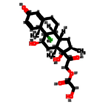 C[C@@H]1C[C@H]2[C@@H]3CCC4=CC(=O)C=C[C@]4(C)[C@@]3(F)[C@@H](O)C[C@]2(C)[C@@]1(O)C(=O)COC(=O)CO